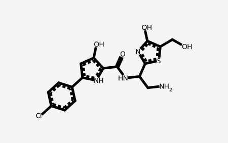 NCC(NC(=O)c1[nH]c(-c2ccc(Cl)cc2)cc1O)c1nc(O)c(CO)s1